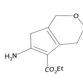 CCOC(=O)C1=C(N)CC2=C1CCOC2